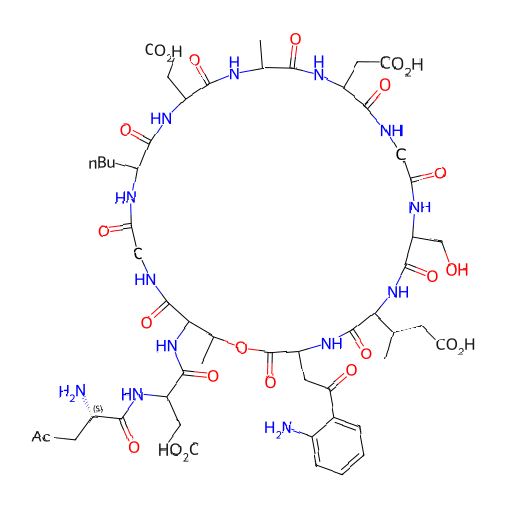 CCCCC1NC(=O)CNC(=O)C(NC(=O)C(CC(=O)O)NC(=O)[C@@H](N)CC(C)=O)C(C)OC(=O)C(CC(=O)c2ccccc2N)NC(=O)C(C(C)CC(=O)O)NC(=O)C(CO)NC(=O)CNC(=O)C(CC(=O)O)NC(=O)C(C)NC(=O)C(CC(=O)O)NC1=O